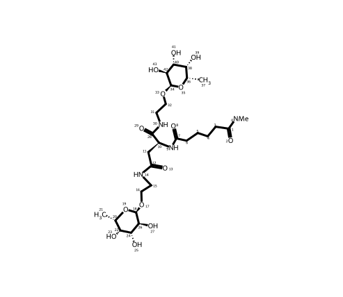 CNC(=O)CCCCC(=O)N[C@@H](CC(=O)NCCO[C@@H]1O[C@@H](C)[C@@H](O)[C@@H](O)[C@@H]1O)C(=O)NCCO[C@@H]1O[C@@H](C)[C@@H](O)[C@@H](O)[C@@H]1O